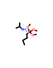 CC(C)N.CCCC[Si](OC)(OC)OC